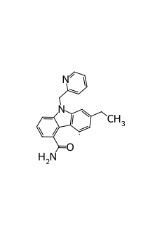 CCc1c[c]c2c3c(C(N)=O)cccc3n(Cc3ccccn3)c2c1